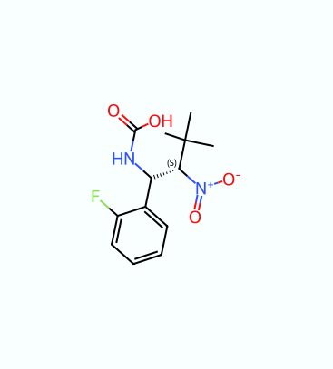 CC(C)(C)[C@@H](C(NC(=O)O)c1ccccc1F)[N+](=O)[O-]